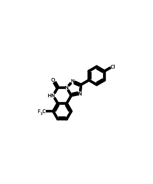 O=c1[nH]c2c(C(F)(F)F)cccc2c2nc(-c3ccc(Cl)cc3)nn12